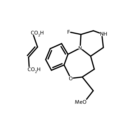 COCC1CC2CNCC(F)N2c2ccccc2O1.O=C(O)C=CC(=O)O